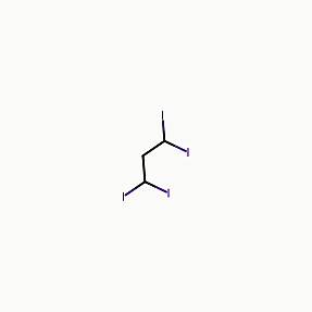 IC(I)CC(I)I